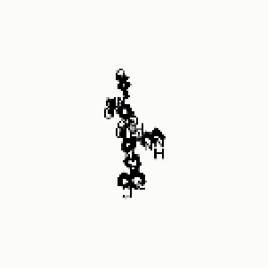 O=C(NS(=O)(=O)c1ccc(NCC2CC3(COC3)C2)c([N+](=O)[O-])c1)c1ccc(N2CCN(C3CCCCc4c(Cl)cccc43)CC2)cc1Oc1cnc2[nH]ccc2c1